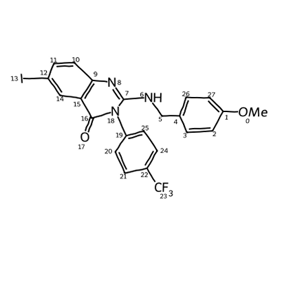 COc1ccc(CNc2nc3ccc(I)cc3c(=O)n2-c2ccc(C(F)(F)F)cc2)cc1